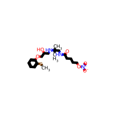 CSc1ccccc1OCC(O)CNC(C)(C)CNC(=O)CCCCO[N+](=O)[O-]